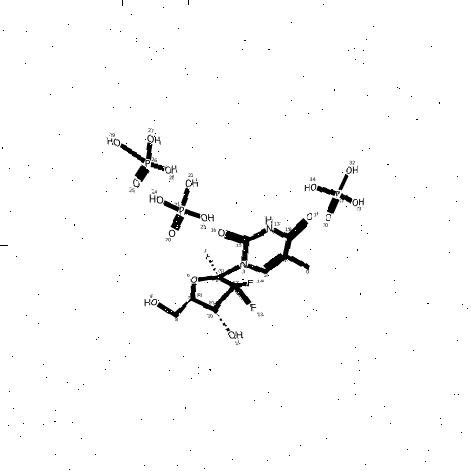 Cc1cn([C@]2(F)O[C@H](CO)[C@@H](O)C2(F)F)c(=O)[nH]c1=O.O=P(O)(O)O.O=P(O)(O)O.O=P(O)(O)O